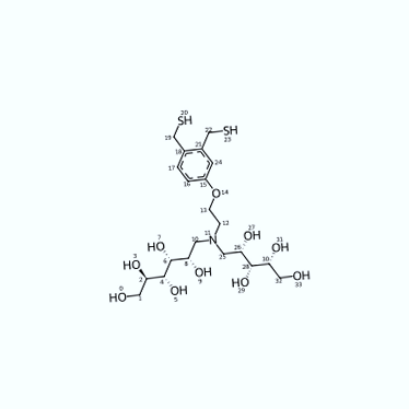 OC[C@@H](O)[C@@H](O)[C@H](O)[C@@H](O)CN(CCOc1ccc(CS)c(CS)c1)C[C@H](O)[C@@H](O)[C@H](O)CO